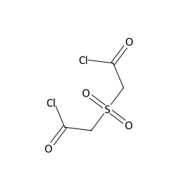 O=C(Cl)CS(=O)(=O)CC(=O)Cl